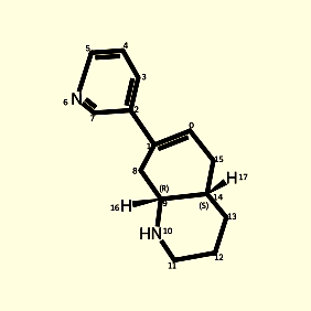 C1=C(c2cccnc2)C[C@H]2NCCC[C@H]2C1